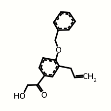 C=CCc1cc(C(=O)CO)ccc1OCc1ccccc1